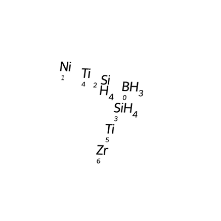 B.[Ni].[SiH4].[SiH4].[Ti].[Ti].[Zr]